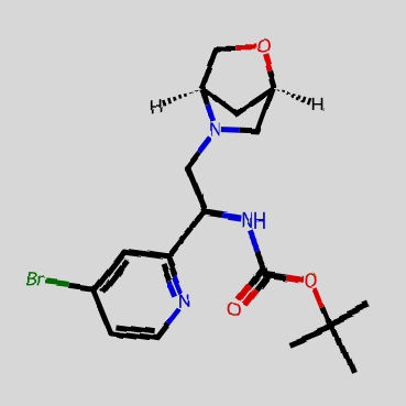 CC(C)(C)OC(=O)NC(CN1C[C@H]2C[C@@H]1CO2)c1cc(Br)ccn1